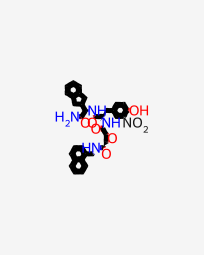 NC(=O)[C@H](NC(=O)[C@@H](Cc1ccc(O)c([N+](=O)[O-])c1)NC(=O)C1O[C@@H]1C(=O)NCc1cccc2ccccc12)C1Cc2ccccc2C1